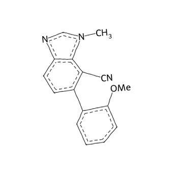 COc1ccccc1-c1ccc2ncn(C)c2c1C#N